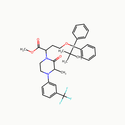 COC(=O)C(CCO[Si](c1ccccc1)(c1ccccc1)C(C)(C)C)N1CCN(c2cccc(C(F)(F)F)c2)C(C)C1=O